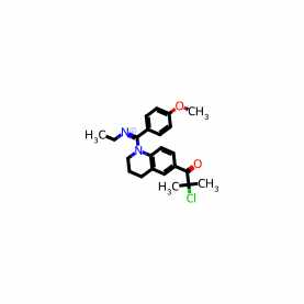 CC/N=C(/c1ccc(OC)cc1)N1CCCc2cc(C(=O)C(C)(C)Cl)ccc21